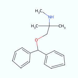 CNC(C)(C)COC(c1ccccc1)c1ccccc1